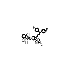 NC(=O)C1CN(CC(=O)Nc2c(Cl)cccc2Cl)CCN1CCCC(c1ccc(F)cc1)c1ccc(F)cc1